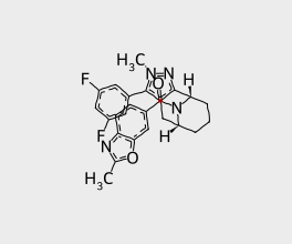 Cc1nc2ccc(C(=O)N3[C@@H]4CCC[C@H]3c3nn(C)c(-c5cc(F)cc(F)c5)c3C4)cc2o1